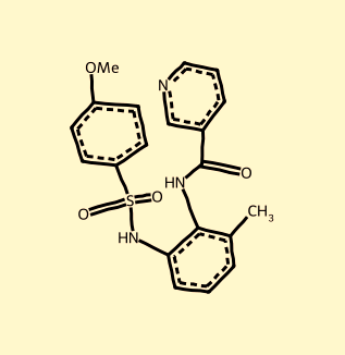 COc1ccc(S(=O)(=O)Nc2cccc(C)c2NC(=O)c2cccnc2)cc1